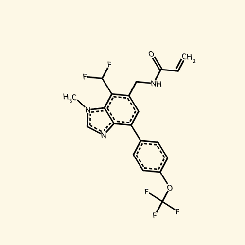 C=CC(=O)NCc1cc(-c2ccc(OC(F)(F)F)cc2)c2ncn(C)c2c1C(F)F